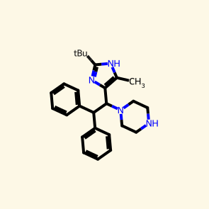 Cc1[nH]c(C(C)(C)C)nc1C(C(c1ccccc1)c1ccccc1)N1CCNCC1